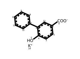 O=C([O-])c1ccc(O)c(-c2ccccc2)c1.[K+]